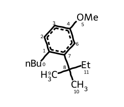 [CH2]CCCc1ccc(OC)cc1C(C)(C)CC